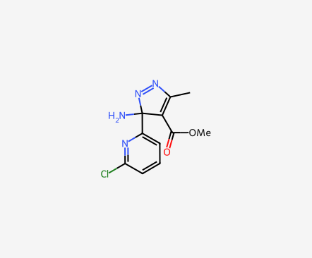 COC(=O)C1=C(C)N=NC1(N)c1cccc(Cl)n1